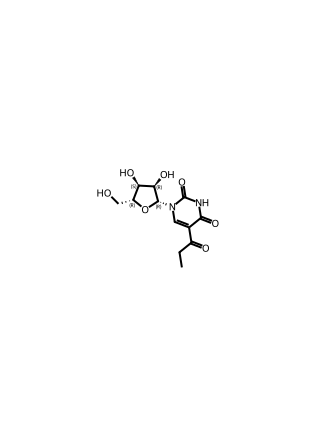 CCC(=O)c1cn([C@@H]2O[C@H](CO)[C@@H](O)[C@H]2O)c(=O)[nH]c1=O